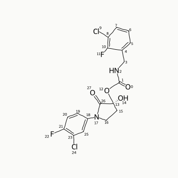 O=C(NCc1cccc(Cl)c1F)O[C@@]1(O)CCN(c2ccc(F)c(Cl)c2)C1=O